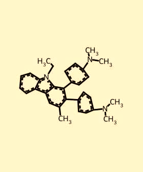 CCn1c2ccccc2c2cc(C)c(-c3ccc(N(C)C)cc3)c(-c3ccc(N(C)C)cc3)c21